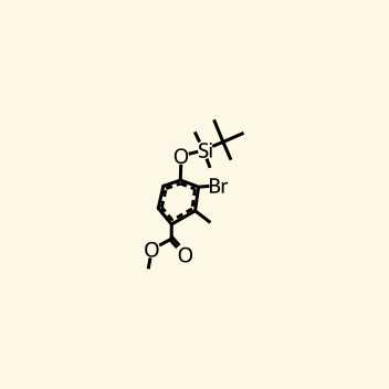 COC(=O)c1ccc(O[Si](C)(C)C(C)(C)C)c(Br)c1C